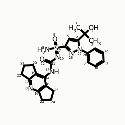 CC(C)(O)c1cc(S(N)(=O)=NC(=O)Nc2c3c(nc4c2CCC4)CCC3)nn1-c1ccccc1